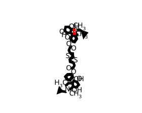 Cc1ccc(OC(=O)Cc2cc3sc(CC(=O)Oc4ccc(C)c5c4O[C@H]4C(=O)CC[C@@]6(O)[C@@H](C)N(CC7CC7)CC[C@]546)cc3s2)c(O)c1[C@]12CCN(CC3CC3)[C@H](C)[C@]1(O)CCC(=O)C2